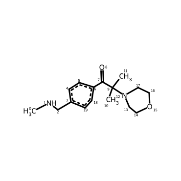 CNCc1ccc(C(=O)C(C)(C)N2CCOCC2)cc1